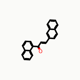 O=C(C=Cc1ccc2ccccc2c1)c1cccc2ccccc12